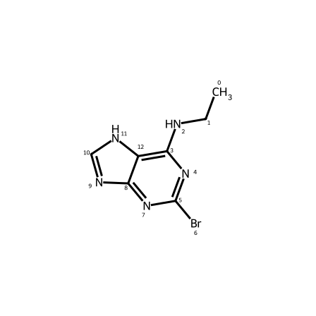 CCNc1nc(Br)nc2nc[nH]c12